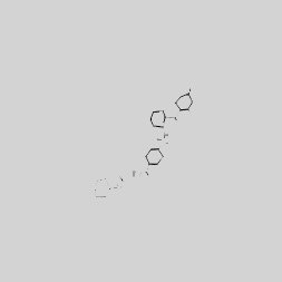 Cl.O=C(CNC(=O)c1ccc(S(=O)(=O)Nc2ccccc2C(=O)c2ccc(Cl)cc2Cl)cc1)NC1CCNCC1